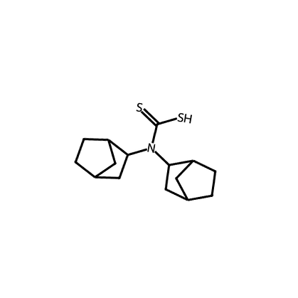 S=C(S)N(C1CC2CCC1C2)C1CC2CCC1C2